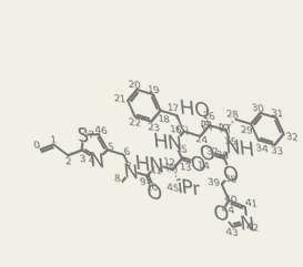 C=CCc1nc(CN(C)C(=O)N[C@H](C(=O)N[C@@H](Cc2ccccc2)C[C@H](O)[C@H](Cc2ccccc2)NC(=O)OCc2cnco2)C(C)C)cs1